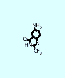 Nc1ccc2nc(C(F)(F)F)[nH]c(=O)c2c1